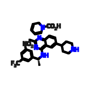 Cc1nc(N[C@H](C)c2cc([N+](=O)[O-])cc(C(F)(F)F)c2)c2cc(C3CCNCC3)ccc2n1.O=C(O)N1C=CC=CC1